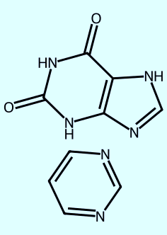 O=c1[nH]c(=O)c2[nH]cnc2[nH]1.c1cncnc1